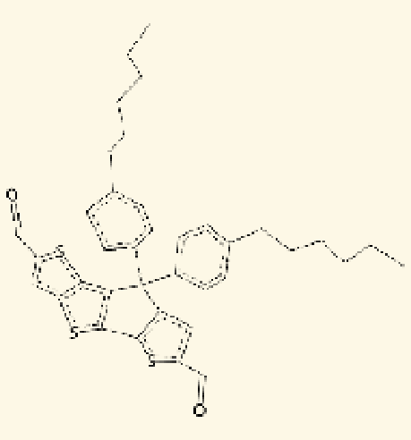 CCCCCCc1ccc(C2(c3ccc(CCCCCC)cc3)c3cc(C=O)sc3-c3sc4cc(C=O)sc4c32)cc1